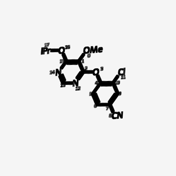 COc1c(Oc2ccc(C#N)cc2Cl)ncnc1OC(C)C